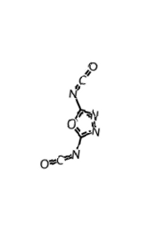 O=C=Nc1nnc(N=C=O)o1